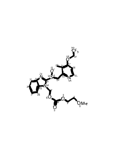 COCCOC(=O)OCn1c([S+]([O-])Cc2nccc(OCC(F)(F)F)c2C)nc2ccccc21